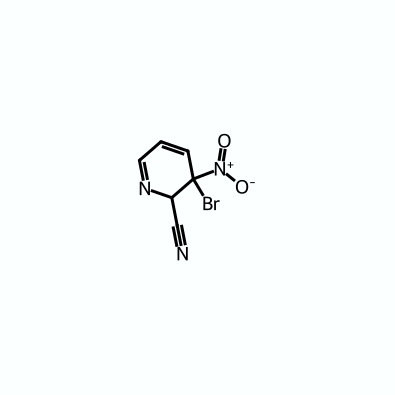 N#CC1N=CC=CC1(Br)[N+](=O)[O-]